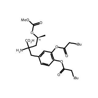 CCC(C)CC(=O)Oc1ccc(CC(N)(C[C@H](C)OC(=O)OC)C(=O)O)cc1OC(=O)CC(C)CC